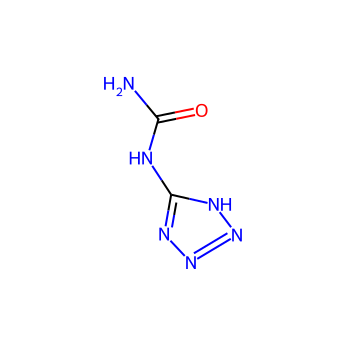 NC(=O)Nc1nnn[nH]1